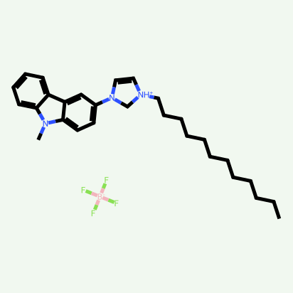 CCCCCCCCCCCC[NH+]1C=CN(c2ccc3c(c2)c2ccccc2n3C)C1.F[B-](F)(F)F